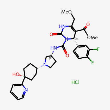 COCC1=C(C(=O)OC)[C@H](c2ccc(F)c(F)c2)N(C(=O)N[C@@H]2CCN([C@H]3CC[C@](O)(c4ccccn4)CC3)C2)C(=O)N1.Cl